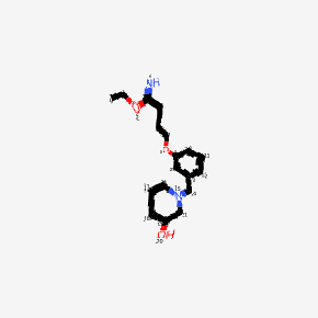 CCOC(=N)CCCOc1cccc(CN2CCCC(O)C2)c1